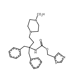 O=C(NC(CCN1CCN(C(=O)O)CC1)(Cc1ccccc1)Cc1ccccc1)OCc1cncs1